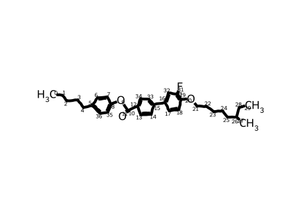 CCCCCc1ccc(OC(=O)c2ccc(-c3ccc(OCCCCCC(C)CC)c(F)c3)cc2)cc1